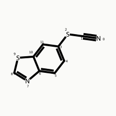 N#CSc1ccc2n[c]sc2c1